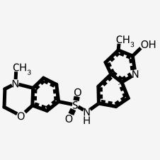 Cc1cc2cc(NS(=O)(=O)c3ccc4c(c3)OCCN4C)ccc2nc1O